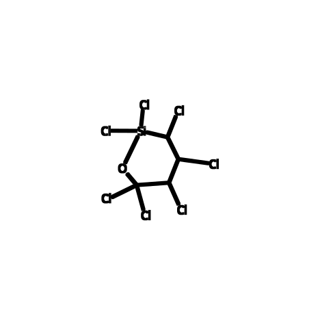 ClC1C(Cl)C(Cl)(Cl)O[Si](Cl)(Cl)C1Cl